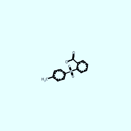 Cc1ccc(S(=O)(=O)c2ccccc2C(=O)Cl)cc1